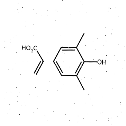 C=CC(=O)O.Cc1cccc(C)c1O